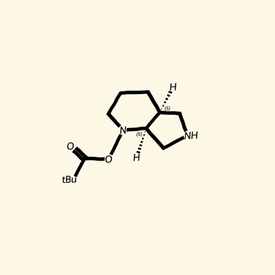 CC(C)(C)C(=O)ON1CCC[C@H]2CNC[C@H]21